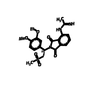 CCOc1cc([C@@H](CS(C)(=O)=O)N2C(=O)c3cccc(NC(C)=N)c3C2=O)ccc1OC